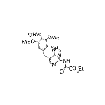 CCOC(=O)C(=O)Nc1ncc(Cc2cc(OC)c(OC)c(OC)c2)c(N)n1